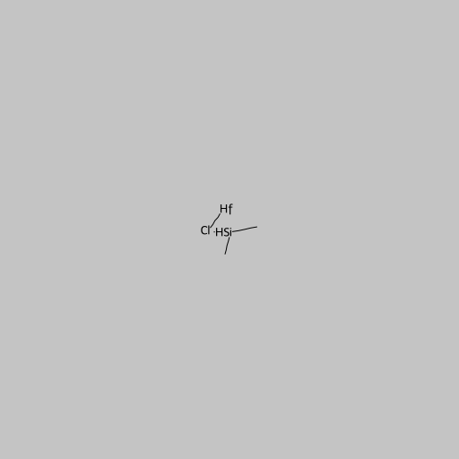 C[SiH]C.[Cl][Hf]